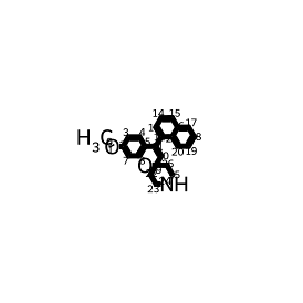 COc1ccc2c(c1)OC1(C=C2c2cccc3ccccc23)CCNCC1